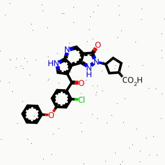 O=C(c1ccc(Oc2ccccc2)cc1Cl)c1c[nH]c2ncc3c(=O)n(C4CCC(C(=O)O)C4)[nH]c3c12